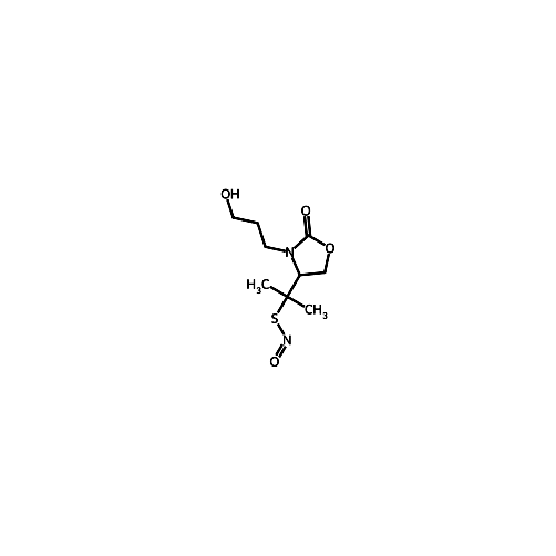 CC(C)(SN=O)C1COC(=O)N1CCCO